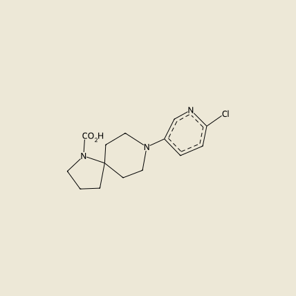 O=C(O)N1CCCC12CCN(c1ccc(Cl)nc1)CC2